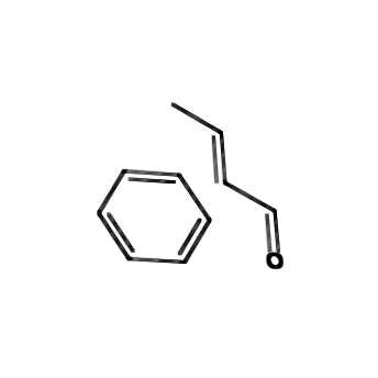 CC=CC=O.c1ccccc1